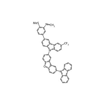 C=Nc1cc(-c2ccc3c(c2)c2cc(C(F)(F)F)ccc2n3-c2ccc3oc4ccc(-n5c6ccccc6c6ccccc65)cc4c3c2)ccc1SC